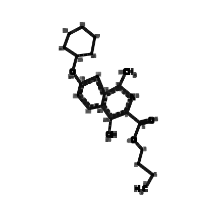 CCCCOC(=O)c1nc(C)c2cc(OC3CCCCC3)ccc2c1O